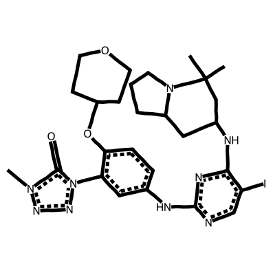 Cn1nnn(-c2cc(Nc3ncc(I)c(NC4CC5CCCN5C(C)(C)C4)n3)ccc2OC2CCOCC2)c1=O